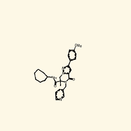 COc1ccc(-c2cc3n(n2)CC(C)(C(=O)NC2CCCCCC2)N(Cc2cccnc2)C3=O)cc1